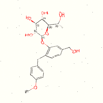 CC(C)Oc1ccc(Cc2ccc(CO)cc2O[C@@H]2O[C@H]([C@@H](C)O)[C@@H](O)[C@H](O)[C@H]2O)cc1